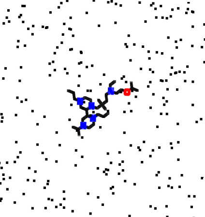 CCCN1CCN(CC(C)(C)CCN(CC)CCOC(C)C)C(C2CN(C(C)C)CCN2CCC)C1